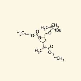 C=CCOC(=O)N(C)[C@H]1C[C@@H](CO[Si](C)(C)C(C)(C)C)N(C(=O)OCC=C)C1